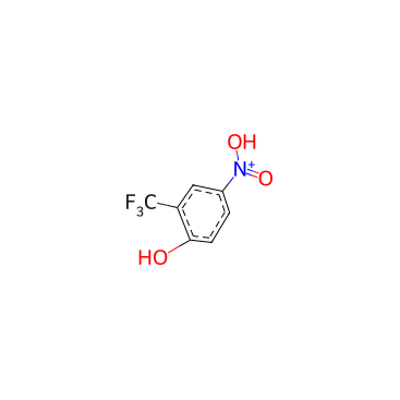 O=[N+](O)c1ccc(O)c(C(F)(F)F)c1